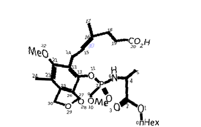 CCCCCCOC(=O)C(C)NP(=O)(COC)Oc1c(C/C=C(\C)CCC(=O)O)c(OC)c(C)c2c1C(=O)OC2